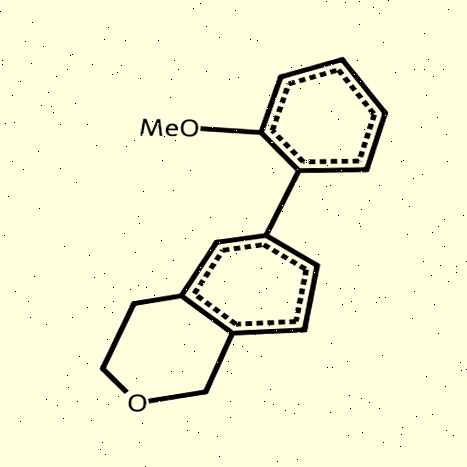 COc1ccccc1-c1ccc2c(c1)CCOC2